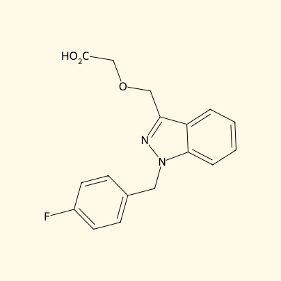 O=C(O)COCc1nn(Cc2ccc(F)cc2)c2ccccc12